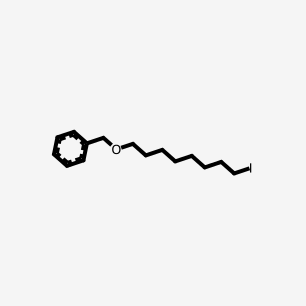 ICCCCCCCCOCc1ccccc1